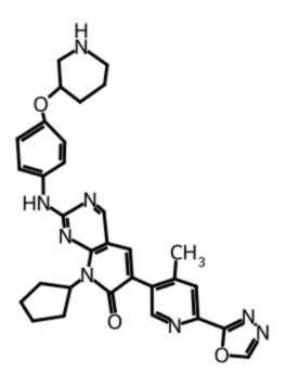 Cc1cc(-c2nnco2)ncc1-c1cc2cnc(Nc3ccc(OC4CCCNC4)cc3)nc2n(C2CCCC2)c1=O